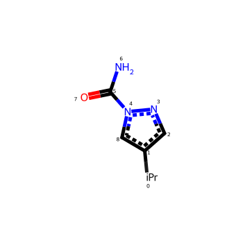 CC(C)c1cnn(C(N)=O)c1